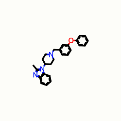 Cc1nc2ccccc2n1C1CCN(Cc2cccc(Oc3ccccc3)c2)CC1